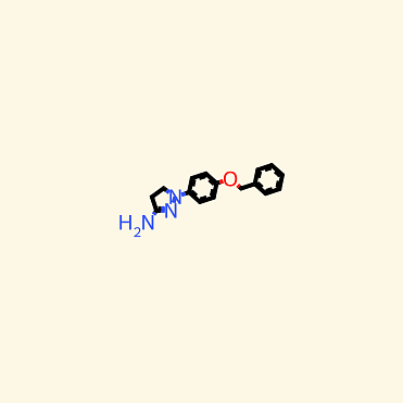 NC1=NN(c2ccc(OCc3ccccc3)cc2)CC1